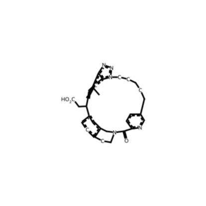 Cc1c2ccc3c1nnn3CCCCCc1ccc(nc1)C(=O)N1CCc3ccc(cc3C1)C2CC(=O)O